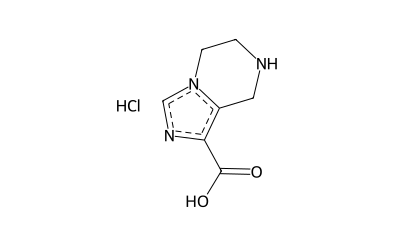 Cl.O=C(O)c1ncn2c1CNCC2